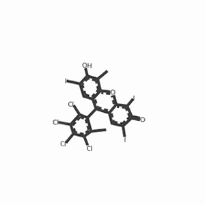 Cc1c(Cl)c(Cl)c(Cl)c(Cl)c1-c1c2cc(I)c(=O)c(I)c-2oc2c(C)c(O)c(I)cc12